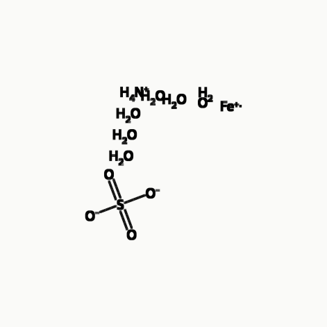 O.O.O.O.O.O.O=S(=O)([O-])[O-].[Fe+].[NH4+]